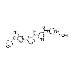 N#Cc1cc(-c2ccnc(Nc3cncc(C(=O)N4CCN(CCO)CC4)c3)n2)ccc1OC1CCOCC1